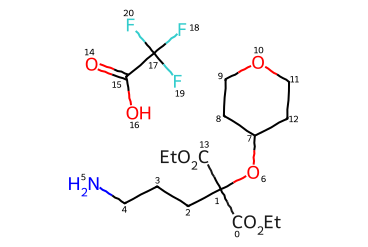 CCOC(=O)C(CCCN)(OC1CCOCC1)C(=O)OCC.O=C(O)C(F)(F)F